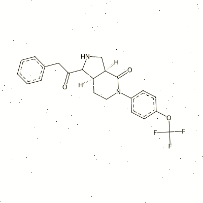 O=C(Cc1ccccc1)C1NC[C@H]2C(=O)N(c3ccc(OC(F)(F)F)cc3)CC[C@@H]12